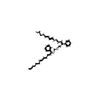 CCCCC=CC=CCCCCC(OCOCOC(CCCCC=CC=CCCCC)c1ccccc1)c1ccccc1